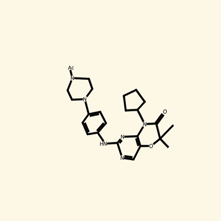 CC(=O)N1CCN(c2ccc(Nc3ncc4c(n3)N(C3CCCC3)C(=O)C(C)(C)O4)cc2)CC1